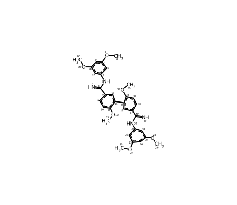 COc1cc(NC(=N)c2ccc(OC)c(-c3cc(C(=N)Nc4cc(OC)cc(OC)c4)ccc3OC)c2)cc(OC)c1